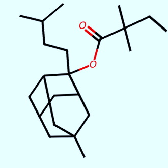 CCC(C)(C)C(=O)OC1(CCC(C)C)C2CC3CC1CC(C)(C3)C2